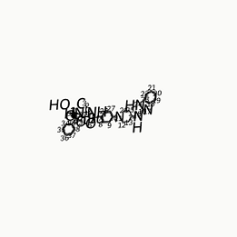 CC(C)(C)C(CC(=O)O)(NC(=O)c1ccc(N2CCC(Nc3nc4ccccc4[nH]3)CC2)cc1)NS(=O)(=O)c1ccccc1